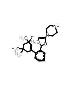 CC1(C)C=C(c2ccccc2C2OC=C(N3CCNCC3)O2)CC(C)(C)C1